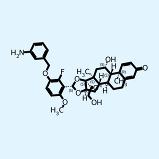 COc1ccc(OCc2cccc(N)c2)c(F)c1[C@H]1O[C@@H]2C[C@H]3[C@@H]4CCC5=CC(=O)C=C[C@]5(C)[C@H]4[C@@H](O)C[C@]3(C)[C@]2(C(=O)CO)O1